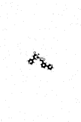 Cn1c(NCC(=O)c2cccc(-c3cccnc3)c2)nc(-c2ccncc2)cc1=O